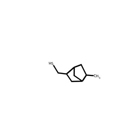 CC1CC2CC1CC2CS